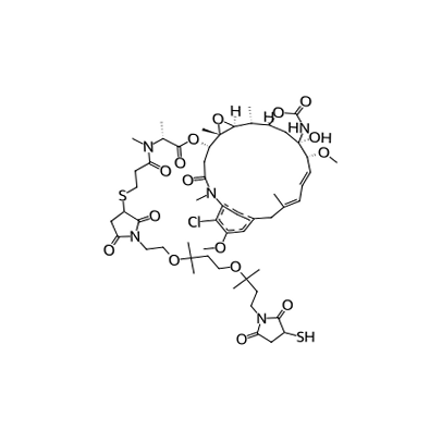 COc1cc2cc(c1Cl)N(C)C(=O)C[C@H](OC(=O)[C@@H](C)N(C)C(=O)CCSC1CC(=O)N(CCOC(C)(C)CCOC(C)(C)CCN3C(=O)CC(S)C3=O)C1=O)[C@]1(C)O[C@H]1[C@H](C)[C@@H]1C[C@@](O)(NC(=O)O1)[C@H](OC)/C=C/C=C(\C)C2